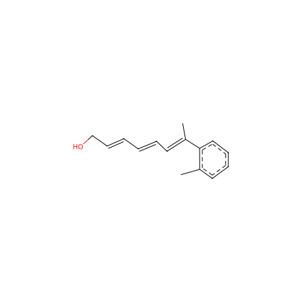 CC(=C/C=C/C=C/CO)c1ccccc1C